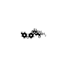 CCS(=O)(=O)N(C[C@H](O)C(N)=O)c1ccc(Oc2ccc(C)cc2)cc1